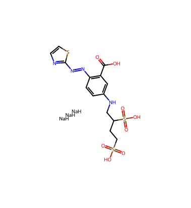 O=C(O)c1cc(NCC(CCS(=O)(=O)O)S(=O)(=O)O)ccc1N=Nc1nccs1.[NaH].[NaH].[NaH]